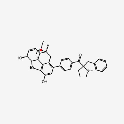 CCC(Cc1ccccc1)(C(=O)c1ccc(-c2cc(O)c3c4c2C[C@@H]2[C@@H]5C=C[C@H](O)[C@H](O3)[C@]45CCN2C)cc1)N(C)C